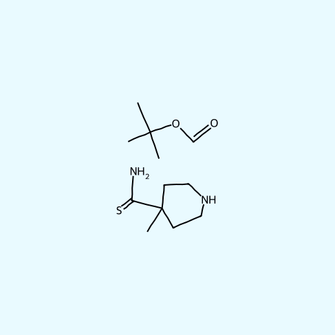 CC(C)(C)OC=O.CC1(C(N)=S)CCNCC1